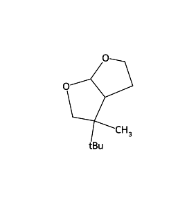 CC(C)(C)C1(C)COC2OCCC21